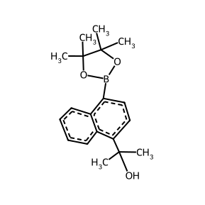 CC(C)(O)c1ccc(B2OC(C)(C)C(C)(C)O2)c2ccccc12